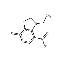 CCN1CCn2c1c([N+](=O)[O-])ccc2=O